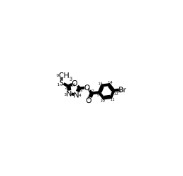 CSc1nnc(OC(=O)c2ccc(Br)cc2)o1